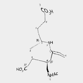 C=C(N[C@H](C)CCC(=O)O)[C@H](CC(=O)O)NC(C)=O